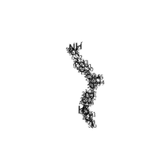 C=C(/C=C\C1=C(C)C2NCCC2CC1)c1ccc2ccc3c(-c4ccc5c6ccc(-c7ccc8c9c7C=CC7C=CC(C/C=C\c%10ccc(/C=C\C)c(C)c%10S)=C(C=C8)C97)cc6c6ccccc6c5c4)ccc4ccc1c2c43